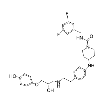 O=C(NCc1cc(F)cc(F)c1)N1CCC(Nc2ccc(CCNC[C@H](O)COc3ccc(O)cc3)cc2)CC1